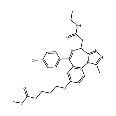 CCNC(=O)CC1N=C(c2ccc(Cl)cc2)c2cc(OCCCCC(=O)OC)ccc2-n2c(C)nnc21